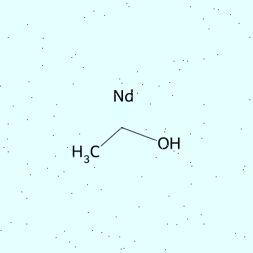 CCO.[Nd]